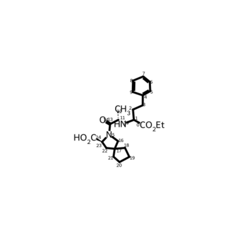 CCOC(=O)C(CCc1ccccc1)N[C@@H](C)C(=O)N1CC2(CCCC2)C[C@H]1C(=O)O